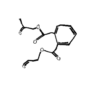 CC(=O)OC(=O)c1ccccc1C(=O)OCC=O